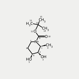 C[C@H]1[C@@H](O)[C@@H](O)CCN1C(=O)OC(C)(C)C